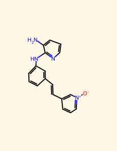 Nc1cccnc1Nc1cccc(/C=C/c2ccc[n+]([O-])c2)c1